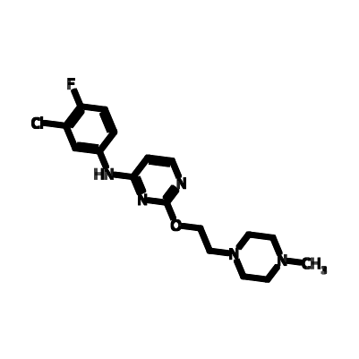 CN1CCN(CCOc2nccc(Nc3ccc(F)c(Cl)c3)n2)CC1